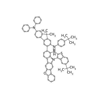 CC(C)(C)c1ccc(Nc2cc3c(cc2-c2ccc4c5cc6oc7ccccc7c6cc5n5c4c2Bc2sc4ccc(C(C)(C)C)cc4c2-5)-c2ccc(N(c4ccccc4)c4ccccc4)cc2C3(C)C)cc1